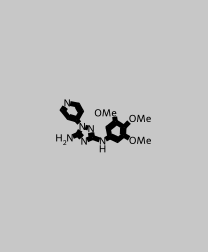 COc1cc(Nc2nc(N)n(-c3ccncc3)n2)cc(OC)c1OC